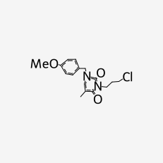 COc1ccc(Cn2cc(C)c(=O)n(CCCCl)c2=O)cc1